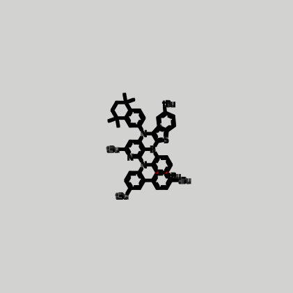 CC(C)(C)c1ccc(-c2cc(C(C)(C)C)ccc2N2c3cc(C(C)(C)C)ccc3B3c4sc5ccc(C(C)(C)C)cc5c4N(c4ccc5c(c4)C(C)(C)CCC5(C)C)c4cc(C(C)(C)C)nc2c43)cc1